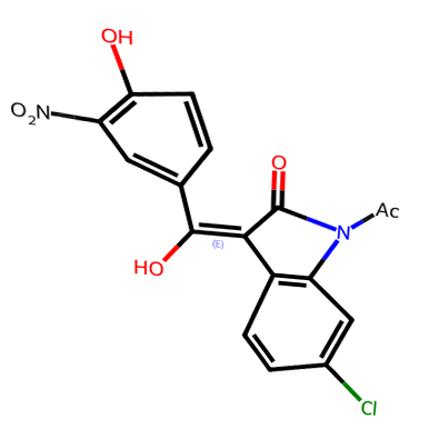 CC(=O)N1C(=O)/C(=C(/O)c2ccc(O)c([N+](=O)[O-])c2)c2ccc(Cl)cc21